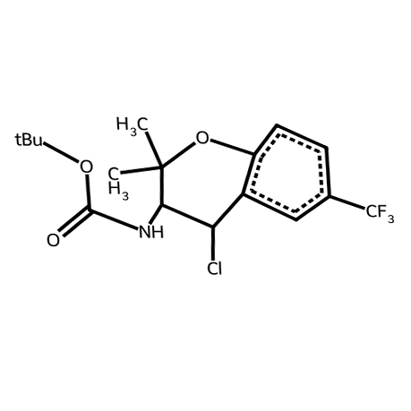 CC(C)(C)OC(=O)NC1C(Cl)c2cc(C(F)(F)F)ccc2OC1(C)C